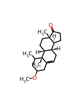 COC1CC2=CC[C@@H]3[C@@H](CC[C@]4(C)C(=O)CC[C@@H]34)[C@@]2(C)C(C)C1